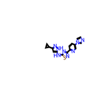 c1cn(-c2ccc(-c3nsc(Nc4cc(C5CC5)n[nH]4)n3)nc2)cn1